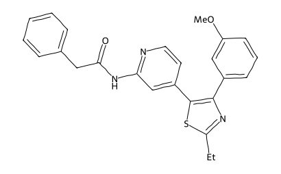 CCc1nc(-c2cccc(OC)c2)c(-c2ccnc(NC(=O)Cc3ccccc3)c2)s1